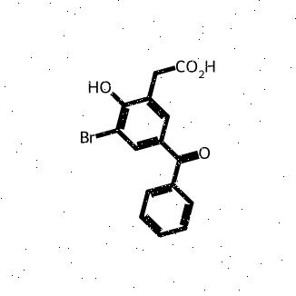 O=C(O)Cc1cc(C(=O)c2ccccc2)cc(Br)c1O